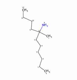 CCCCCCC(C)(N)CCCC